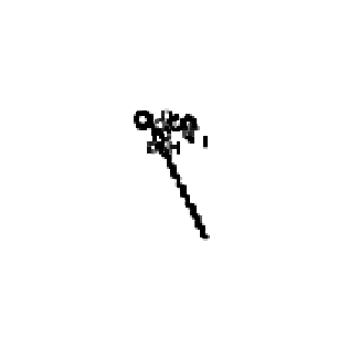 CCCCCCCCCCCCCCCCCCNC(=O)OCC(OC(=O)N(Cc1cccc[n+]1CC)C(C)=O)C1CCCCCC1.[I-]